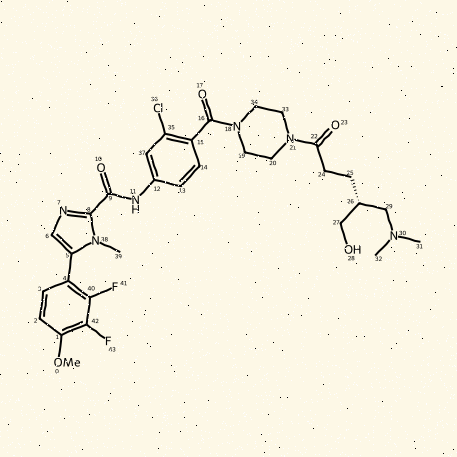 COc1ccc(-c2cnc(C(=O)Nc3ccc(C(=O)N4CCN(C(=O)CC[C@@H](CO)CN(C)C)CC4)c(Cl)c3)n2C)c(F)c1F